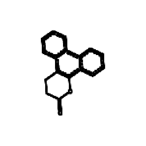 O=C1CCc2c(c3ccccc3c3ccccc23)O1